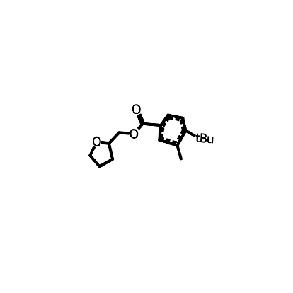 Cc1cc(C(=O)OCC2CCCO2)ccc1C(C)(C)C